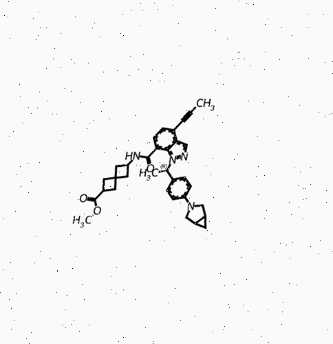 CC#Cc1ccc(C(=O)NC2CC3(C2)CC(C(=O)OC)C3)c2c1cnn2[C@H](C)c1ccc(N2CC3CC3C2)cc1